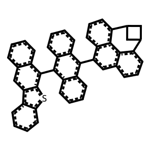 c1ccc2c(-c3c4ccccc4c(-c4cc5cccc6c5c5c(cccc45)C4CC6C4)c4ccccc34)c3sc4ccccc4c3cc2c1